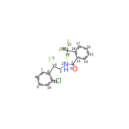 O=C(NCC(F)c1ccccc1Cl)c1ccccc1C(F)(F)F